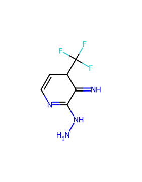 N=C1C(NN)=NC=CC1C(F)(F)F